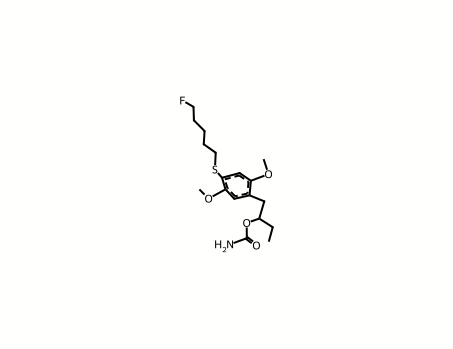 CCC(Cc1cc(OC)c(SCCCCCF)cc1OC)OC(N)=O